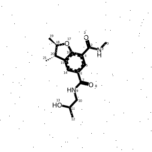 CNC(=O)c1cc(C(=O)NCC(C)O)cc2c1O[C@H](C)[C@H]2C